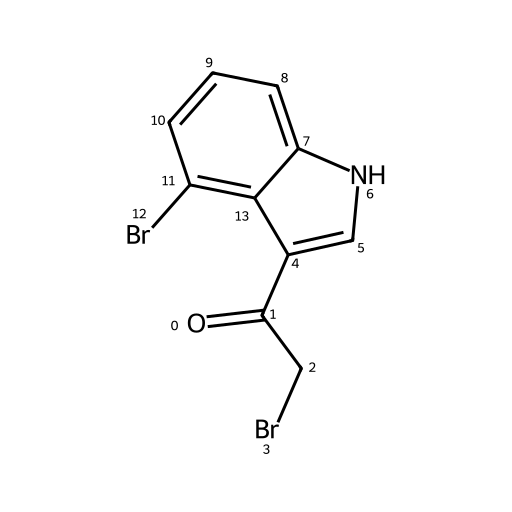 O=C(CBr)c1c[nH]c2cccc(Br)c12